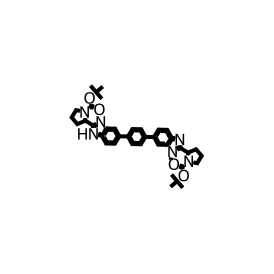 Cn1c(C2CCCN2C(=O)OC(C)(C)C)nc2ccc(-c3ccc(-c4ccc5[nH]c(C6CCCN6C(=O)OC(C)(C)C)nc5c4)cc3)cc21